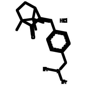 CC(C)N(Cc1ccc(C=C2C(=O)C3(C)CCC2C3(C)C)cc1)C(C)C.Cl